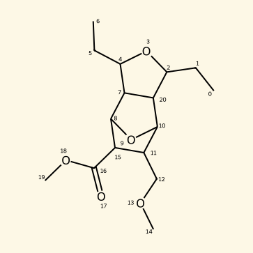 CCC1OC(CC)C2C3OC(C(COC)C3C(=O)OC)C12